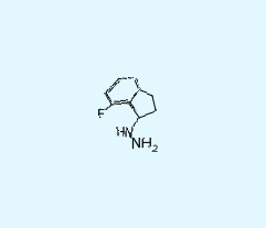 NNC1CCc2cccc(F)c21